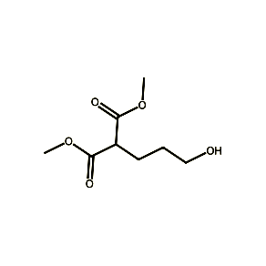 COC(=O)C(CCCO)C(=O)OC